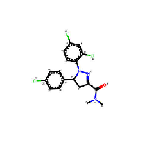 CN(C)C(=O)C1=NN(c2ccc(Cl)cc2Cl)C(c2ccc(Cl)cc2)C1